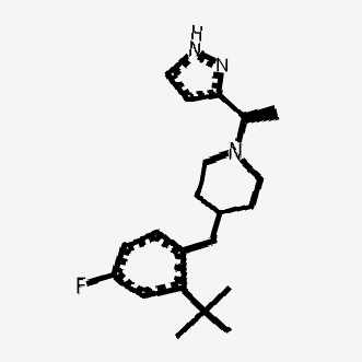 C=C(c1cc[nH]n1)N1CCC(Cc2ccc(F)cc2C(C)(C)C)CC1